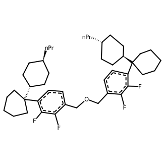 CCC[C@H]1CC[C@H](C2(c3ccc(COCc4ccc(C5([C@H]6CC[C@H](CCC)CC6)CCCCC5)c(F)c4F)c(F)c3F)CCCCC2)CC1